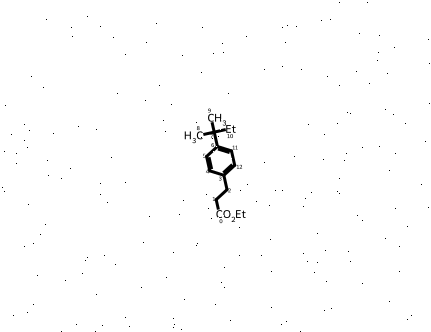 CCOC(=O)CCc1ccc(C(C)(C)CC)cc1